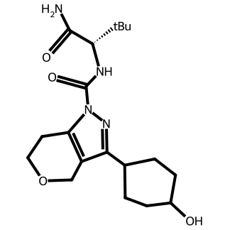 CC(C)(C)[C@H](NC(=O)n1nc(C2CCC(O)CC2)c2c1CCOC2)C(N)=O